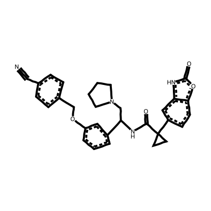 N#Cc1ccc(COc2cccc(C(CN3CCCC3)NC(=O)C3(c4ccc5oc(=O)[nH]c5c4)CC3)c2)cc1